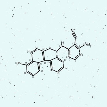 N#Cc1c(N)ncnc1NCCc1cnc2c(F)cccc2c1-c1ccccc1